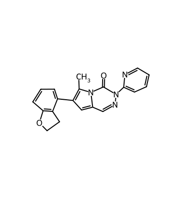 Cc1c(-c2cccc3c2CCO3)cc2cnn(-c3ccccn3)c(=O)n12